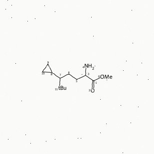 COC(=O)C(N)CCC(C1CC1)C(C)(C)C